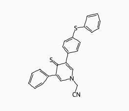 N#CCn1cc(-c2ccccc2)c(=S)c(-c2ccc(Sc3ccccc3)cc2)c1